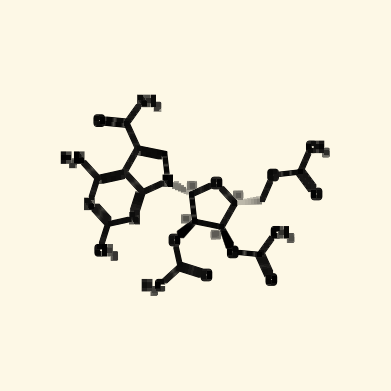 CC(=O)OC[C@H]1O[C@@H](n2cc(C(N)=O)c3c(N)nc(C)nc32)[C@H](OC(C)=O)[C@@H]1OC(C)=O